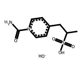 CC(Cc1cc[n+](C(N)=O)cc1)S(=O)(=O)O.[OH-]